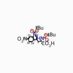 CC(C)(C)OC(=O)N[C@H](Cc1cn(C(=O)OC(C)(C)C)c2cc([N+](=O)[O-])ccc12)C(=O)O